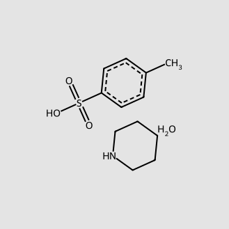 C1CCNCC1.Cc1ccc(S(=O)(=O)O)cc1.O